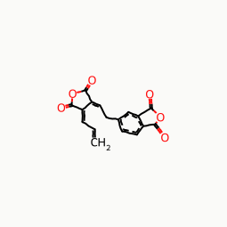 C=C/C=C1/C(=O)OC(=O)/C1=C/Cc1ccc2c(c1)C(=O)OC2=O